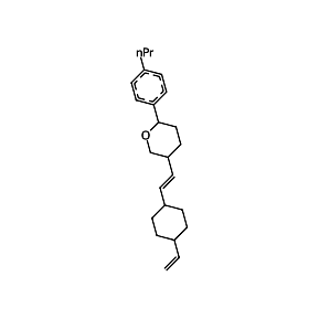 C=CC1CCC(/C=C/C2CCC(c3ccc(CCC)cc3)OC2)CC1